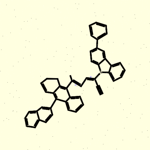 C#C/C(=C\C=C(/C)c1c2c(c(-c3ccc4ccccc4c3)c3ccccc13)C=CCC2)n1c2ccccc2c2cc(-c3ccccc3)ccc21